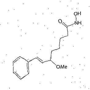 COC(/C=C/c1ccccc1)CCCCC(=O)NO